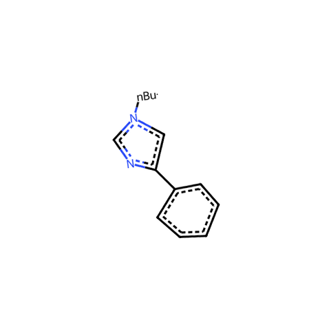 CCC[CH]n1cnc(-c2ccccc2)c1